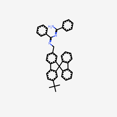 CC(C)(C)c1ccc2c(c1)C1(c3ccccc3-c3ccccc31)c1cc(C/N=C(\N=C(/N)c3ccccc3)c3ccccc3)ccc1-2